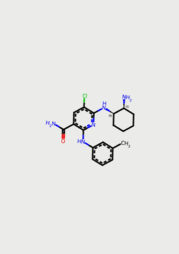 Cc1cccc(Nc2nc(N[C@@H]3CCCC[C@@H]3N)c(Cl)cc2C(N)=O)c1